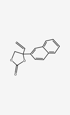 C=CC1(c2ccc3ccccc3c2)COC(=O)O1